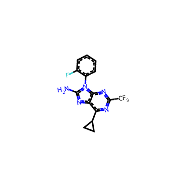 Nc1nc2c(C3CC3)nc(C(F)(F)F)nc2n1-c1ccccc1F